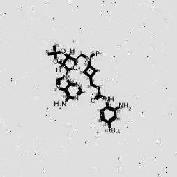 CC(C)N(C[C@H]1O[C@@H](n2cnc3c(N)ncnc32)[C@@H]2OC(C)(C)O[C@@H]21)C1CC(CCC(=O)Nc2ccc(C(C)(C)C)cc2N)C1